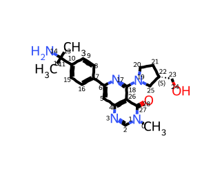 Cn1cnc2cc(-c3ccc(C(C)(C)N)cc3)nc(N3CC[C@H](CO)C3)c2c1=O